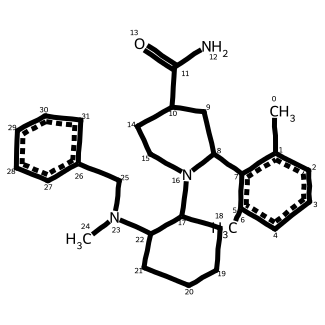 Cc1cccc(C)c1C1CC(C(N)=O)CCN1C1CCCCC1N(C)Cc1ccccc1